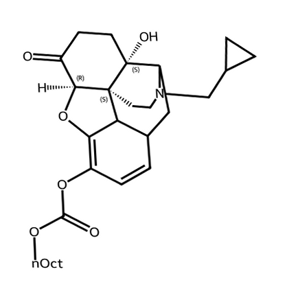 CCCCCCCCOC(=O)OC1=C2O[C@H]3C(=O)CC[C@@]4(O)C5CC(C=C1)C2[C@@]34CCN5CC1CC1